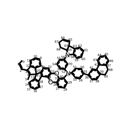 C/C=C\C1=C(C)C2(c3ccccc31)c1ccccc1-c1c2ccc2c1Oc1cccc(N(c3ccc(-c4ccc5c(c4)-c4ccccc4CC5)cc3)c3cccc(N4c5ccccc5C5C=CCCC54)c3)c1O2